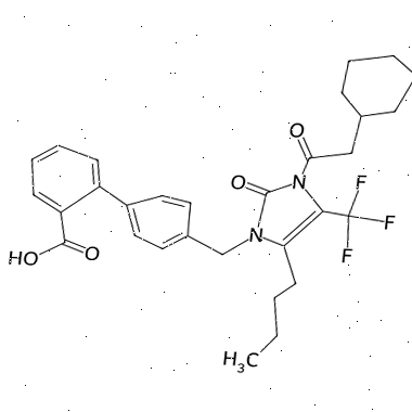 CCCCc1c(C(F)(F)F)n(C(=O)CC2CCCCC2)c(=O)n1Cc1ccc(-c2ccccc2C(=O)O)cc1